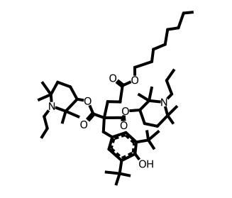 CCCCCCCCOC(=O)CCC(Cc1cc(C(C)(C)C)c(O)c(C(C)(C)C)c1)(C(=O)OC1CCC(C)(C)N(CCC)C1(C)C)C(=O)OC1CCC(C)(C)N(CCC)C1(C)C